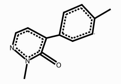 Cc1[c]cc(-c2ccnn(C)c2=O)cc1